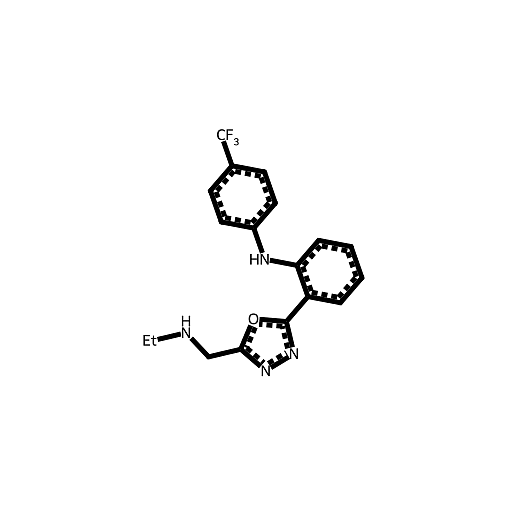 CCNCc1nnc(-c2ccccc2Nc2ccc(C(F)(F)F)cc2)o1